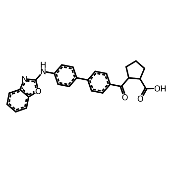 O=C(O)C1CCCC1C(=O)c1ccc(-c2ccc(Nc3nc4ccccc4o3)cc2)cc1